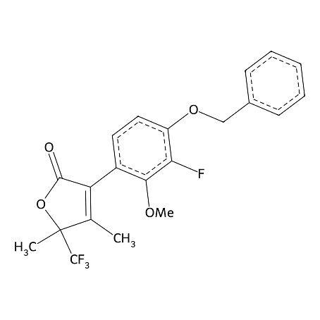 COc1c(C2=C(C)C(C)(C(F)(F)F)OC2=O)ccc(OCc2ccccc2)c1F